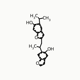 CC(C)c1cc2cc(CC(C)c3cc4occc4cc3O)oc2cc1O